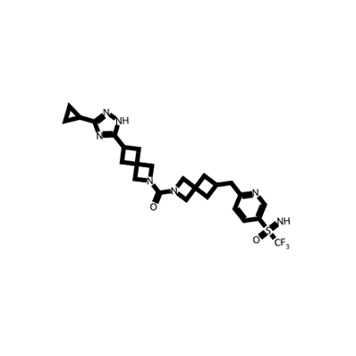 N=S(=O)(c1ccc(CC2CC3(C2)CN(C(=O)N2CC4(CC(c5nc(C6CC6)n[nH]5)C4)C2)C3)nc1)C(F)(F)F